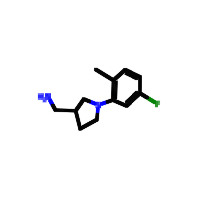 Cc1ccc(F)cc1N1CCC(CN)C1